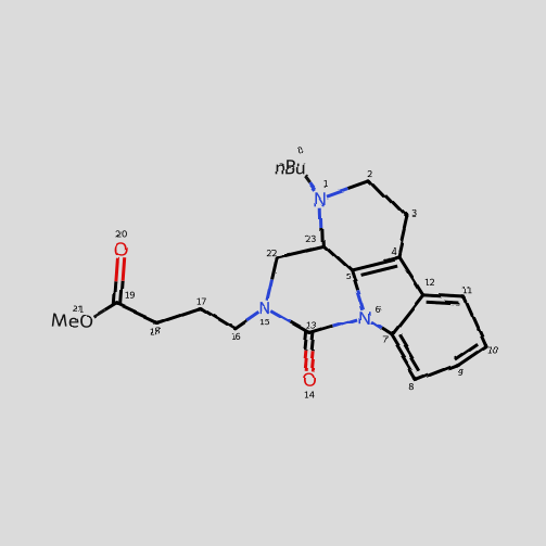 CCCCN1CCc2c3n(c4ccccc24)C(=O)N(CCCC(=O)OC)CC31